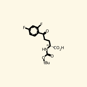 CC(C)(C)OC(=O)N[C@H](CCC(=O)c1ccc(F)cc1F)C(=O)O